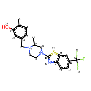 Cc1ccc(CN2CCN(c3nc4ccc(C(F)(F)F)cc4s3)CC2C)cc1O